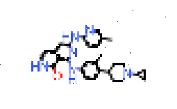 Cc1ccc(Nc2cc3cc[nH]c(=O)c3c(Nc3ccc(C4CCN(C5CC5)CC4)c(C)c3)n2)nc1